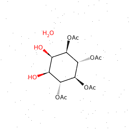 CC(=O)O[C@@H]1[C@@H](OC(C)=O)[C@H](OC(C)=O)[C@@H](O)[C@@H](O)[C@H]1OC(C)=O.O